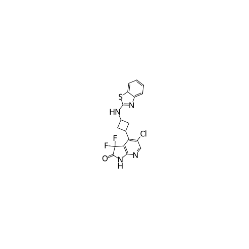 O=C1Nc2ncc(Cl)c(C3CC(Nc4nc5ccccc5s4)C3)c2C1(F)F